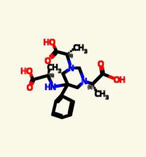 C[C@H](NC1(c2ccccc2)CN([C@@H](C)C(=O)O)CN([C@@H](C)C(=O)O)C1)C(=O)O